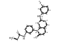 C=CC(=O)Nc1cccc(-n2c(=O)ccc3cnc(Nc4cccc(F)c4)nc32)c1